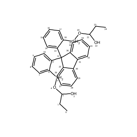 CCC(O)O[SiH2]c1ccccc1C1(c2ccccc2[SiH2]OC(O)CC)c2ccccc2-c2ccccc21